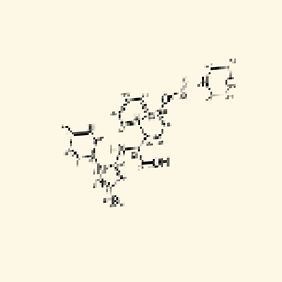 Cc1ccc(-n2nc(C(C)(C)C)cc2NC(CO)c2ccc(OCCN3CCOCC3)c3ccccc23)cc1